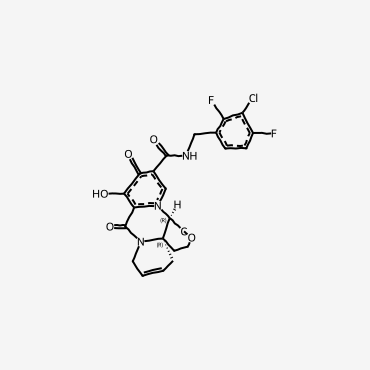 O=C(NCc1ccc(F)c(Cl)c1F)c1cn2c(c(O)c1=O)C(=O)N1CC=CC[C@]13CCOC[C@H]23